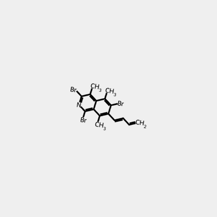 C=CC=Cc1c(Br)c(C)c2c(C)c(Br)nc(Br)c2c1C